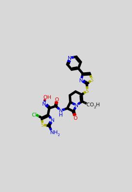 Nc1nc(/C(=N/O)C(=O)NC2C(=O)N3C(C(=O)O)=C(Sc4nc(-c5ccncc5)cs4)CCC23)c(Cl)s1